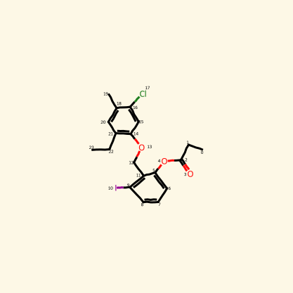 CCC(=O)Oc1cccc(I)c1COc1cc(Cl)c(C)cc1CC